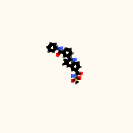 CC1(C)Cc2cc(C(=O)NS(C)(=O)=O)ccc2NC1c1cccc(C(=O)Nc2ccccc2)c1